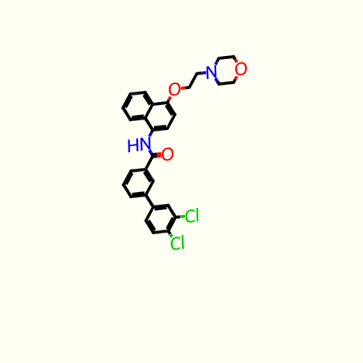 O=C(Nc1ccc(OCCN2CCOCC2)c2ccccc12)c1cccc(-c2ccc(Cl)c(Cl)c2)c1